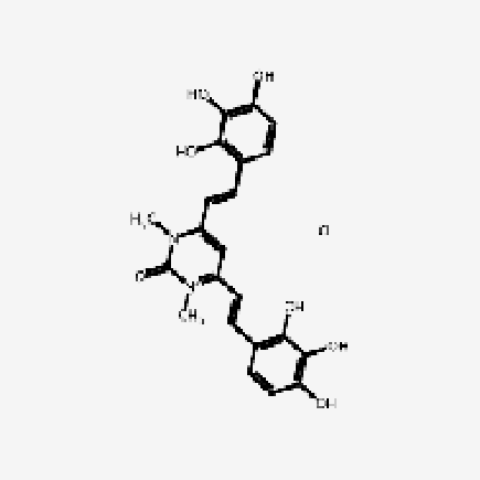 Cn1c(C=Cc2ccc(O)c(O)c2O)cc(C=Cc2ccc(O)c(O)c2O)[n+](C)c1=O.[Cl-]